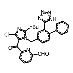 CCCCc1nc(Cl)c(C(=O)c2cccc(C=O)n2)n1Cc1ccc(-c2ccccc2)c(-c2nnn[nH]2)c1